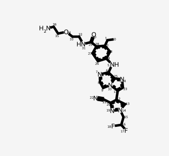 CCc1cc(Nc2nccn3c(-c4cn(CC(F)F)nc4C#N)cnc23)ccc1C(=O)NCCOCCN